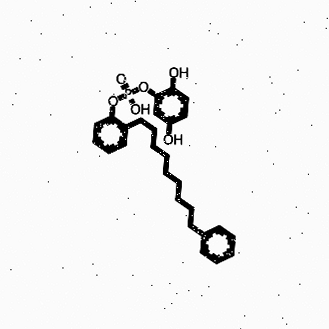 O=P(O)(Oc1cc(O)ccc1O)Oc1ccccc1CCCCCCCCCc1ccccc1